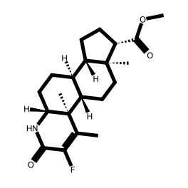 COC(=O)[C@H]1CC[C@H]2[C@@H]3CC[C@H]4NC(=O)C(F)=C(C)[C@]4(C)[C@H]3CC[C@]12C